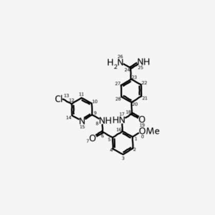 COc1cccc(C(=O)Nc2ccc(Cl)cn2)c1NC(=O)c1ccc(C(=N)N)cc1